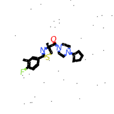 Cc1cc(C2=NC(C)(C(=O)N3CCN(C4CCCC4)CC3)CS2)ccc1F